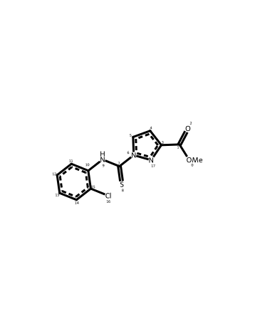 COC(=O)c1ccn(C(=S)Nc2ccccc2Cl)n1